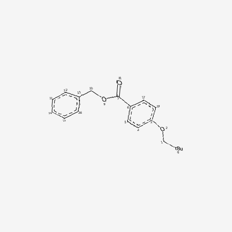 CC(C)(C)COc1ccc(C(=O)OCc2ccccc2)cc1